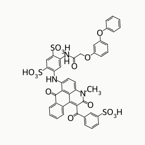 Cn1c(=O)c(C(=O)c2cccc(S(=O)(=O)O)c2)c2c3c(c(Nc4cc(NC(=O)COc5cccc(Oc6ccccc6)c5)c(S(=O)(=O)O)cc4S(=O)(=O)O)ccc31)C(=O)c1ccccc1-2